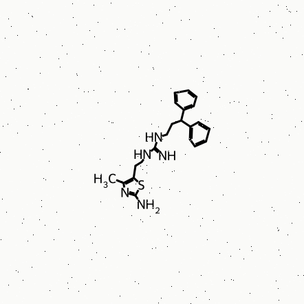 Cc1nc(N)sc1CCNC(=N)NCCC(c1ccccc1)c1ccccc1